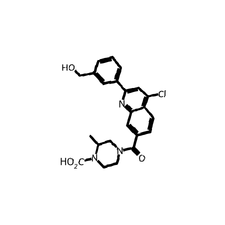 CC1CN(C(=O)c2ccc3c(Cl)cc(-c4cccc(CO)c4)nc3c2)CCN1C(=O)O